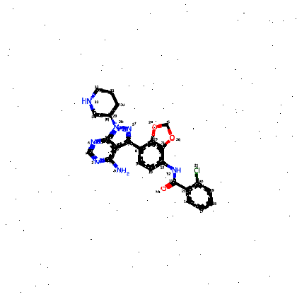 Nc1ncnc2c1c(-c1ccc(NC(=O)c3ccccc3Cl)c3c1OCO3)nn2[C@@H]1CCCNC1